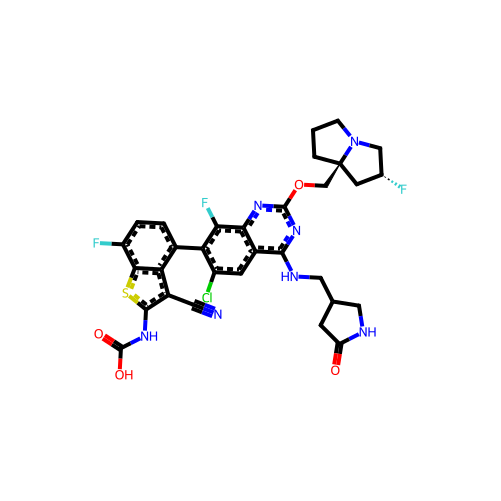 N#Cc1c(NC(=O)O)sc2c(F)ccc(-c3c(Cl)cc4c(NCC5CNC(=O)C5)nc(OC[C@@]56CCCN5C[C@H](F)C6)nc4c3F)c12